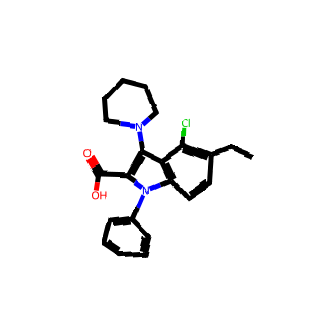 CCc1ccc2c(c1Cl)c(N1CCCCC1)c(C(=O)O)n2-c1ccccc1